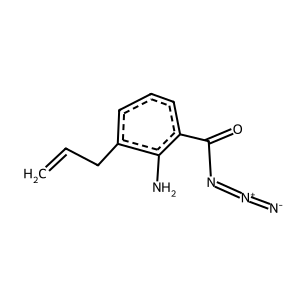 C=CCc1cccc(C(=O)N=[N+]=[N-])c1N